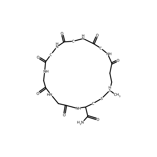 C[SH]1CCC(=O)NCC(=O)NCC(=O)NCC(=O)NCC(=O)NCC(=O)NC(C(N)=O)CS1